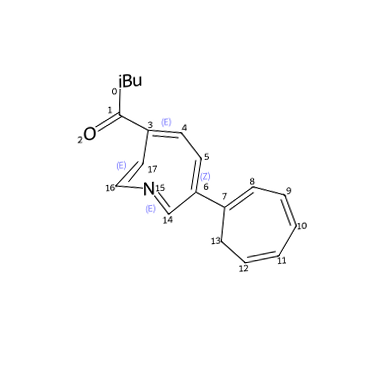 CCC(C)C(=O)C1=C/C=C(C2=CC=CC=CC2)\C=N\C=C\1